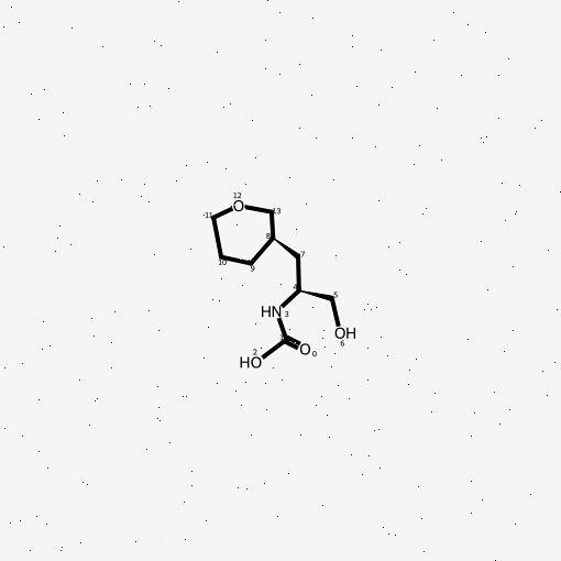 O=C(O)N[C@H](CO)C[C@H]1CCCOC1